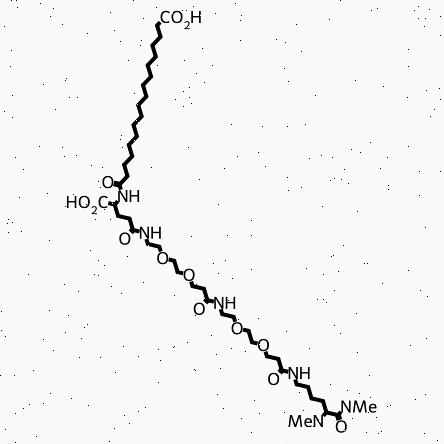 CNC(=O)C(CCCCNC(=O)CCOCCOCCNC(=O)CCOCCOCCNC(=O)CCC(NC(=O)CCCCCCCCCCCCCCCCC(=O)O)C(=O)O)NC